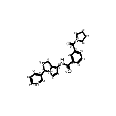 O=C(Nc1ccn2c1CSC2c1cccnc1)c1cccc(C(=O)N2CCCC2)c1